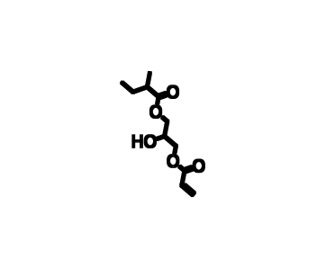 C=CC(=O)OCC(O)COC(=O)C(C)CC